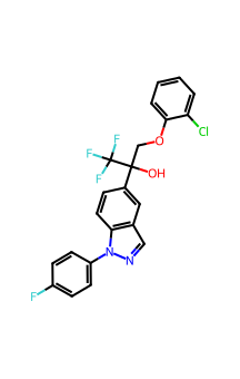 OC(COc1ccccc1Cl)(c1ccc2c(cnn2-c2ccc(F)cc2)c1)C(F)(F)F